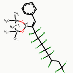 C[Si](C)(C)O[SiH](O[Si](C)(C)C)C(=Cc1ccccc1)C(F)(F)C(F)(F)C(F)(F)C(F)(F)C(F)(F)C(F)CC(F)(F)F